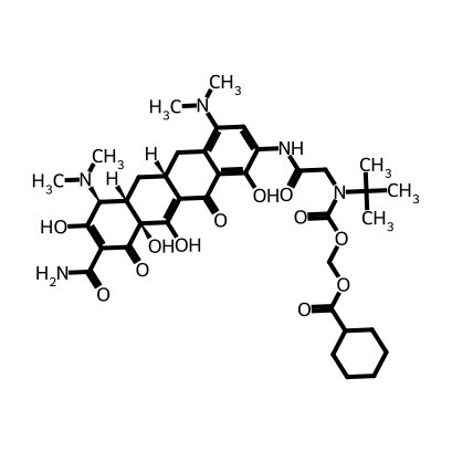 CN(C)c1cc(NC(=O)CN(C(=O)OCOC(=O)C2CCCCC2)C(C)(C)C)c(O)c2c1C[C@H]1C[C@H]3[C@H](N(C)C)C(O)=C(C(N)=O)C(=O)[C@@]3(O)C(O)=C1C2=O